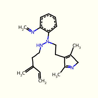 C=CC(=C)CCNN(CCC1=C(C)CN=C1C)c1ccccc1N=C